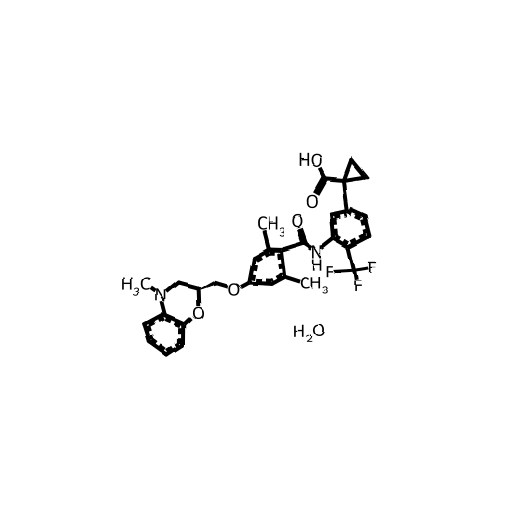 Cc1cc(OC[C@@H]2CN(C)c3ccccc3O2)cc(C)c1C(=O)Nc1cc(C2(C(=O)O)CC2)ccc1C(F)(F)F.O